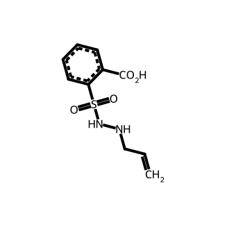 C=CCNNS(=O)(=O)c1ccccc1C(=O)O